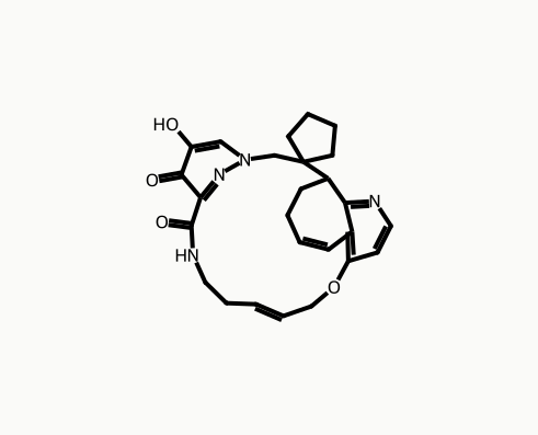 O=C1NCC/C=C/COc2ccnc3c2C=CCCC3C2(CCCC2)Cn2cc(O)c(=O)c1n2